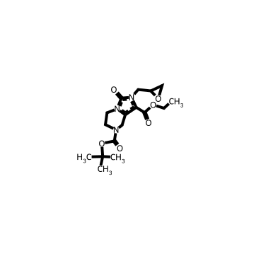 CCOC(=O)c1c2n(c(=O)n1CC1CO1)CCN(C(=O)OC(C)(C)C)C2